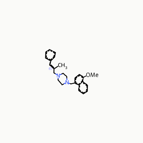 COc1ccc(CN2CCN(C/C(C)=C/c3ccccc3)CC2)c2ccccc12